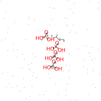 CCCC.O=C(O)O.O=C(O)O.O=C(O)O.O=C(O)O